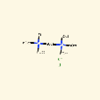 CCCCCCCC[N+](C)(CCCCCCCC)CCCCCCCC.CCCCCCCC[N+](CC)(CCCCCCCC)CCCCCCCC.[Cl-].[Cl-]